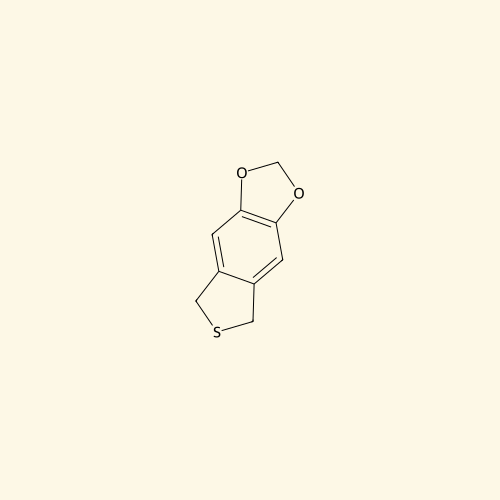 c1c2c(cc3c1OCO3)CSC2